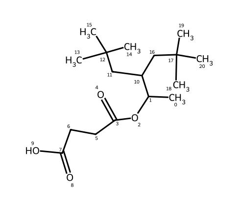 CC(OC(=O)CCC(=O)O)C(CC(C)(C)C)CC(C)(C)C